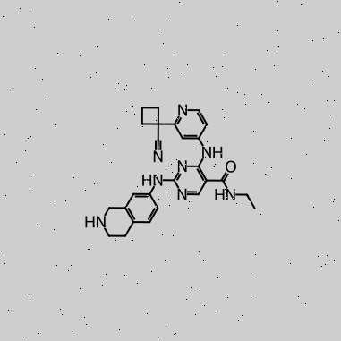 CCNC(=O)c1cnc(Nc2ccc3c(c2)CNCC3)nc1Nc1ccnc(C2(C#N)CCC2)c1